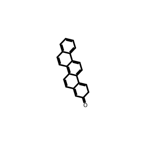 O=C1C=c2ccc3c(ccc4c5ccccc5ccc34)c2=CC1